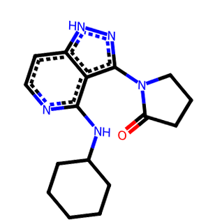 O=C1CCCN1c1n[nH]c2ccnc(NC3CCCCC3)c12